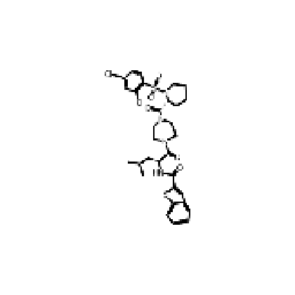 CC(C)C[C@H](NC(=O)c1cc2ccccc2s1)C(=O)N1CCN(C(=O)[C@H]2CCCCN2S(=O)(=O)c2ccc(Cl)cc2Cl)CC1